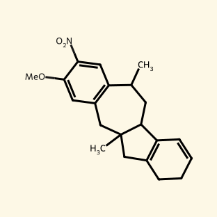 COc1cc2c(cc1[N+](=O)[O-])C(C)CC1C3=C(CCC=C3)CC1(C)C2